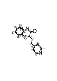 NC(=O)C(CCc1ccncc1)Oc1cc[c]cc1